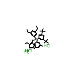 CCC1=[C]([Ti][Si](c2cc(C)cc(C)c2)(c2cc(CC)cc(CC)c2)c2cc(C(C)(C)C)cc(C(C)(C)C)c2)CC=C1.Cl.Cl.Cl